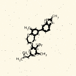 Cc1nc2ccc(-c3cc(C)c4c(c3)CN(c3nc(CN(C)C)nc(C)c3C(C)C)CCO4)cc2[nH]1